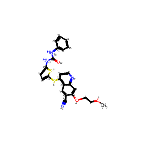 COCCOc1cc2nccc(Sc3ccc(NC(=O)Nc4ccccc4)s3)c2cc1C#N